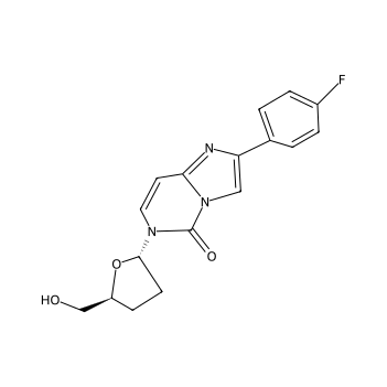 O=c1n([C@@H]2CC[C@@H](CO)O2)ccc2nc(-c3ccc(F)cc3)cn12